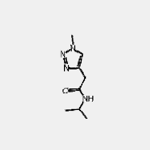 CC(C)NC(=O)Cc1cn(C)nn1